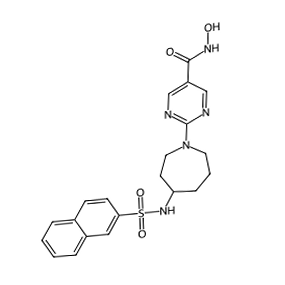 O=C(NO)c1cnc(N2CCCC(NS(=O)(=O)c3ccc4ccccc4c3)CC2)nc1